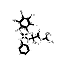 CC(C)OC(=O)C(C)(C)NP(=O)(Oc1ccccc1)Oc1c(F)c(F)c(F)c(F)c1F